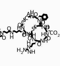 CC(=O)[C@@H]1CSCC(=O)N[C@@H](CCCCNC(=O)CCN2C(=O)C=CC2=O)C(=O)N[C@H]2CSSC[C@H](NC(=O)[C@H](CC(=O)O)NC(=O)CNC(=O)[C@H](CCCNC(=N)N)NC2=O)C(=O)N[C@@H](Cc2ccccc2)C(=O)N1